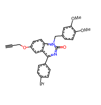 C#CCOc1ccc2c(c1)c(-c1ccc(C(C)C)cc1)nc(=O)n2Cc1ccc(OC)c(OC)c1